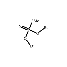 CCOP(=S)(OCC)SC